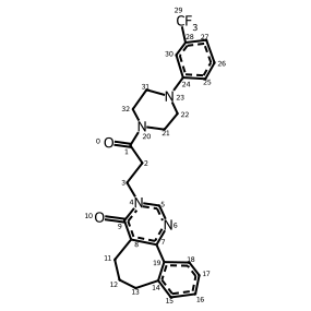 O=C(CCn1cnc2c(c1=O)CCCc1ccccc1-2)N1CCN(c2cccc(C(F)(F)F)c2)CC1